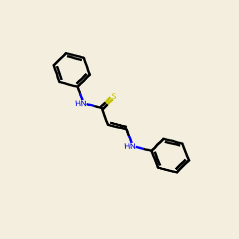 S=C(C=CNc1ccccc1)Nc1ccccc1